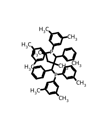 CCCC(C)(C(c1ccccc1)P(c1cc(C)cc(C)c1)c1cc(C)cc(C)c1)C(c1ccccc1)P(c1cc(C)cc(C)c1)c1cc(C)cc(C)c1